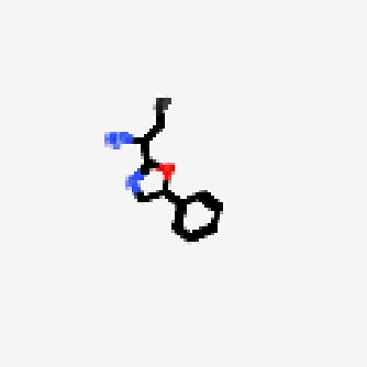 CC(C)C[C@H](N)C1=NCC(c2ccccc2)O1